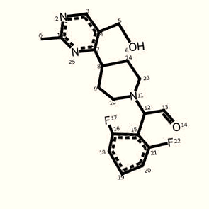 Cc1ncc(CO)c(C2CCN(C(C=O)c3c(F)cccc3F)CC2)n1